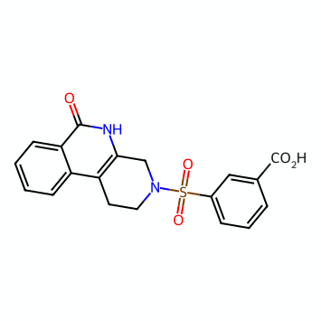 O=C(O)c1cccc(S(=O)(=O)N2CCc3c([nH]c(=O)c4ccccc34)C2)c1